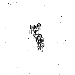 CC(C)(C)OC(=O)N1CCN2c3ccc(NC4CCC(=O)NC4=O)cc3OC[C@H]2C1